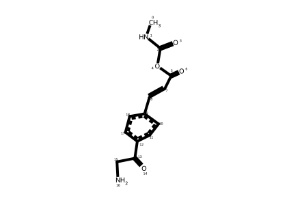 CNC(=O)OC(=O)C=Cc1ccc(C(=O)CN)cc1